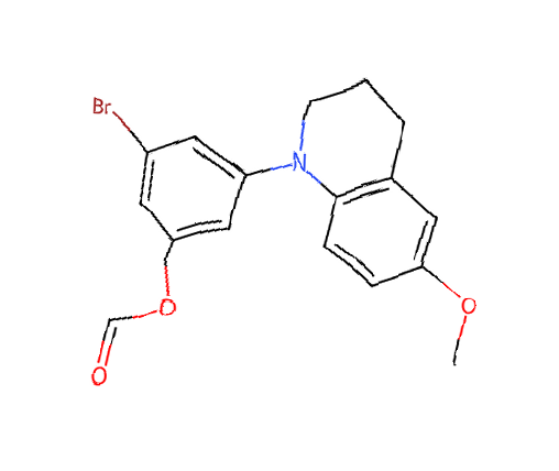 COc1ccc2c(c1)CCCN2c1cc(Br)cc(OC=O)c1